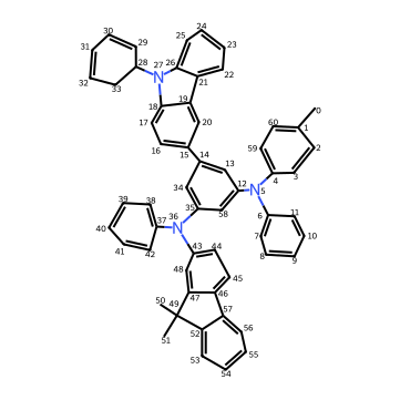 Cc1ccc(N(c2ccccc2)c2cc(-c3ccc4c(c3)c3ccccc3n4C3C=CC=CC3)cc(N(c3ccccc3)c3ccc4c(c3)C(C)(C)c3ccccc3-4)c2)cc1